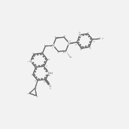 C[C@@H]1CN(Cc2cnc3cc(C4CC4)c(=O)[nH]c3c2)CCN1c1ccc(F)cn1